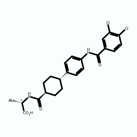 CCC(C)[C@H](NC(=O)[C@H]1CC[C@H](c2ccc(NC(=O)c3ccc(Cl)c(Cl)c3)cc2)CC1)C(=O)O